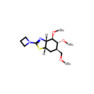 CCCCOC[C@H]1C[C@@H]2SC(N3CCC3)=N[C@@H]2[C@@H](OCCCC)[C@@H]1OCCCC